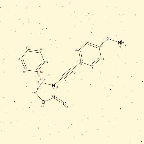 NCc1ccc(C#CN2C(=O)OC[C@@H]2c2ccccc2)cc1